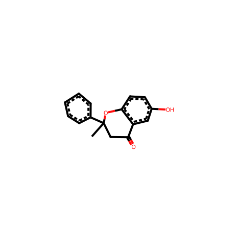 CC1(c2ccccc2)CC(=O)c2cc(O)ccc2O1